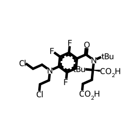 CC(C)(C)N(C(=O)c1cc(F)c(N(CCCl)CCCl)c(F)c1F)[C@@](CCC(=O)O)(C(=O)O)C(C)(C)C